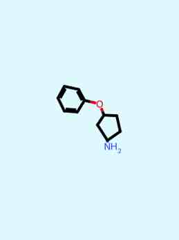 NC1CCC(Oc2ccccc2)C1